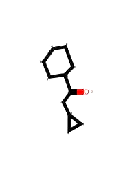 O=C([CH]C1CC1)C1CCCCC1